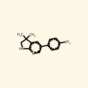 CC1(C)CNc2ncc(-c3ccc(C(F)(F)F)cc3)cc21